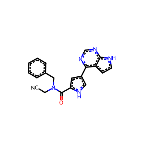 N#CCN(Cc1ccccc1)C(=O)c1cc(-c2ncnc3[nH]ccc23)c[nH]1